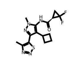 Cc1nnsc1-c1nn(C)c(NC(=O)[C@H]2CC2(F)F)c1C1CCC1